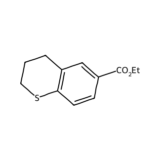 CCOC(=O)c1ccc2c(c1)CCCS2